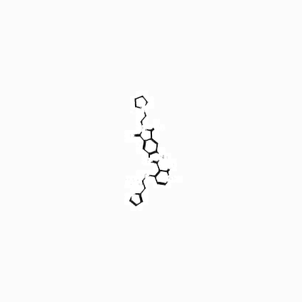 C[C@@H](Cc1cccs1)Nc1cc[nH]c(=O)c1-c1nc2cc3c(cc2[nH]1)C(=O)N(CCN1CCCC1)C3=O